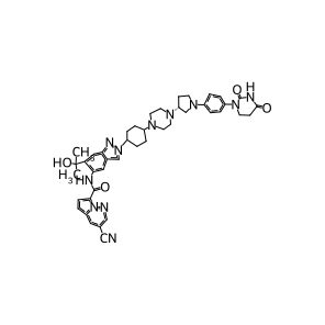 CC(C)(O)c1cc2nn(C3CCC(N4CCN([C@@H]5CCN(c6ccc(N7CCC(=O)NC7=O)cc6)C5)CC4)CC3)cc2cc1NC(=O)c1ccc2cc(C#N)cnn12